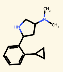 CN(C)C1CNC(c2ccccc2C2CC2)C1